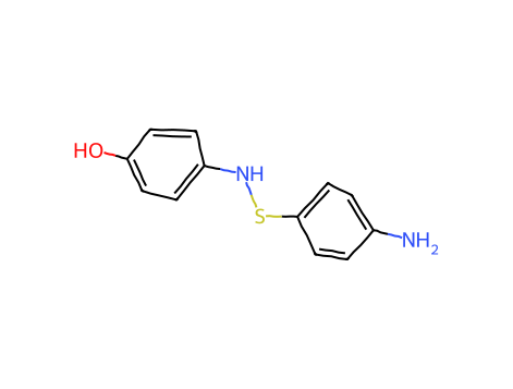 Nc1ccc(SNc2ccc(O)cc2)cc1